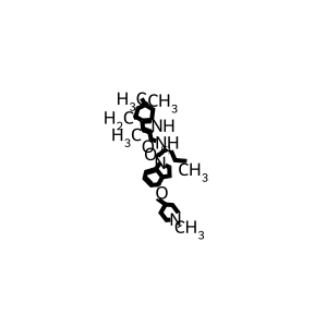 C=C1CC(C)(C)Cc2[nH]c(C(=O)N[C@@H](CCCC)C(=O)N3CCC4C3=CC=CC4OCC3CCN(C)CC3)c(C)c21